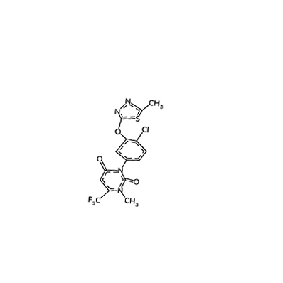 Cc1nnc(Oc2cc(-n3c(=O)cc(C(F)(F)F)n(C)c3=O)ccc2Cl)s1